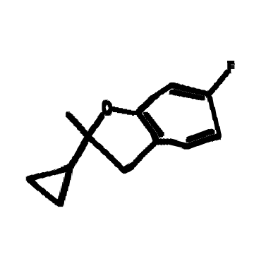 CC1(C2CC2)Cc2ccc(F)cc2O1